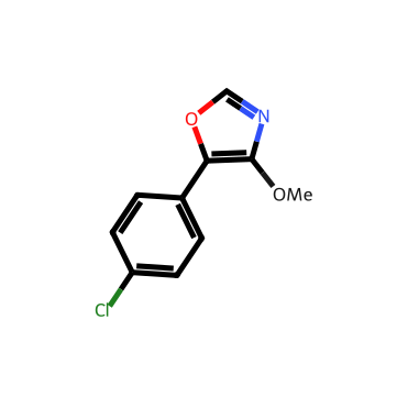 COc1ncoc1-c1ccc(Cl)cc1